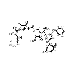 CC(NC(=O)C(NC(=O)OC(C)(C)C)C(C)C)C(=O)NCCCN(C(=O)CO)C(c1nc(-c2cc(F)ccc2F)cn1Cc1ccccc1)C(C)(C)C